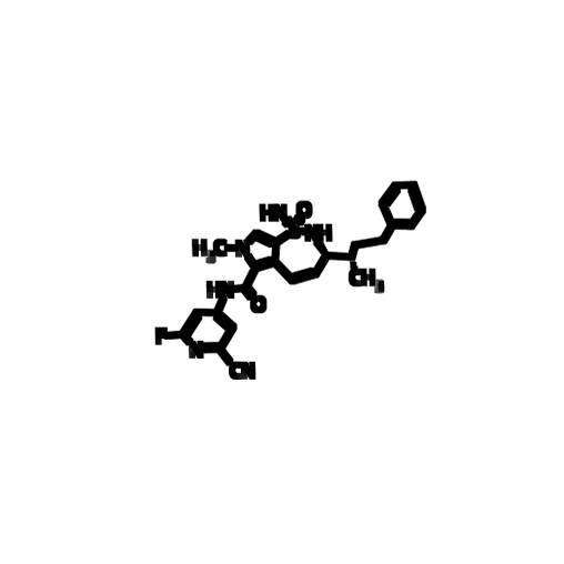 C[C@@H](CCc1ccccc1)[C@H]1C=Cc2c(cn(C)c2C(=O)Nc2cc(F)nc(C#N)c2)S(=N)(=O)N1